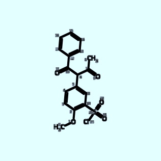 COc1ccc(C(C(C)=O)C(=O)c2ccccc2)cc1S(=O)(=O)Cl